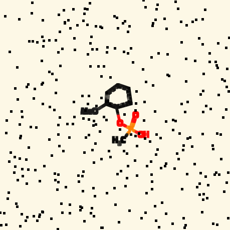 COc1ccccc1OP(C)(=O)O